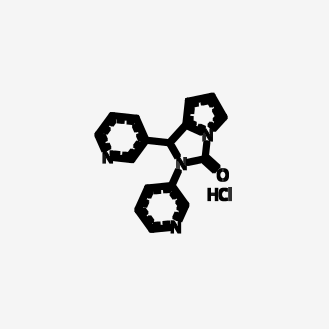 Cl.O=C1N(c2cccnc2)C(c2cccnc2)c2cccn21